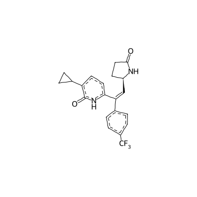 O=C1CC[C@H](/C=C(/c2ccc(C(F)(F)F)cc2)c2ccc(C3CC3)c(=O)[nH]2)N1